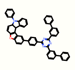 C1=CC2C(c3ccccc3N2c2ccccc2)c2c1oc1ccc(-c3ccc(-c4nc(-c5cccc(-c6ccccc6)c5)nc(-c5cccc(-c6ccccc6)c5)n4)cc3)cc21